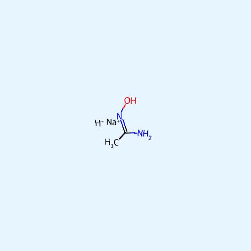 CC(N)=NO.[H-].[Na+]